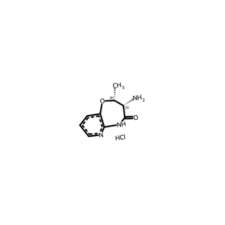 C[C@H]1Oc2cccnc2NC(=O)[C@H]1N.Cl